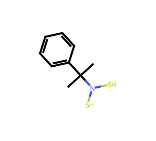 CC(C)(c1ccccc1)N(S)S